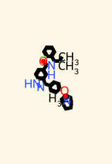 CC(C)C(NC(=O)c1ccc2[nH]nc(-c3ccc(OC4CC5CCC(C4)N5C)cc3)c2c1)c1ccccc1F